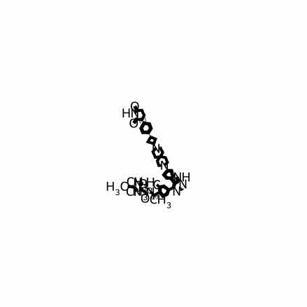 Cc1cc(-c2ncnc3[nH]c4cc(N5CCC6(CC5)CCN([C@H]5C[C@@H](c7ccc([C@H]8CCC(=O)NC8=O)cc7)C5)CC6)ccc4c23)ccc1[C@@H](C)NC(=O)c1nc(C(C)(C)C)no1